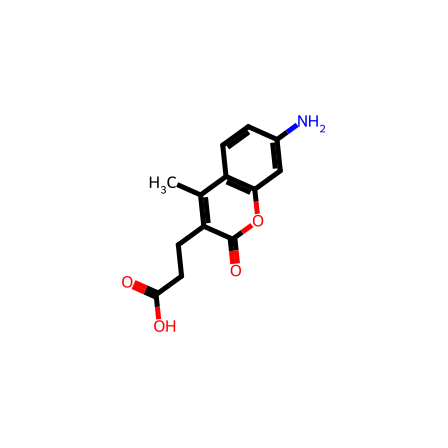 Cc1c(CCC(=O)O)c(=O)oc2cc(N)ccc12